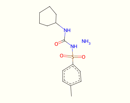 Cc1ccc(S(=O)(=O)NC(=O)NC2CCCCC2)cc1.N